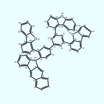 c1ccc2cc3c(cc2c1)c1ccccc1n3-c1ccc(-c2nc(-c3cccc4c3oc3ccccc34)nc(-c3cccc4oc5ccccc5c34)n2)cc1-c1cccc2c1oc1ccccc12